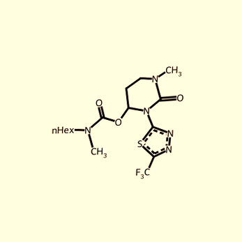 CCCCCCN(C)C(=O)OC1CCN(C)C(=O)N1c1nnc(C(F)(F)F)s1